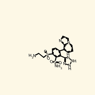 NCCS(=O)(=O)c1ccc(-c2cccn3ccnc23)c(C2=NNNN2)c1S(N)(=O)=O